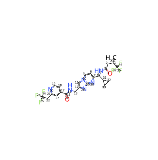 CC(CC(=O)NC(c1ccn2cc(CNC(=O)c3ccnc(CC(F)(F)F)c3)nc2n1)C1CC1)C(F)(F)F